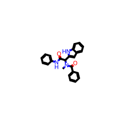 CN(C(=O)c1ccccc1)C(C(=O)Nc1ccccc1)c1cc2ccccc2[nH]1